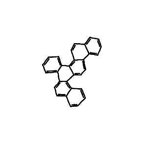 c1ccc2c(c1)ccc1c2ccc2c3c4ccccc4ccc3c3ccccc3c12